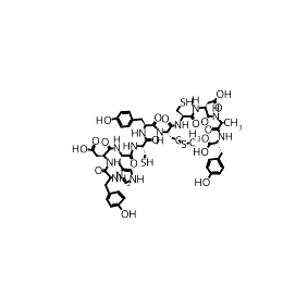 CSCC[C@H](NC(=O)[C@H](Cc1ccc(O)cc1)NC(=O)[C@H](CS)NC(=O)[C@H](Cc1c[nH]cn1)NC(=O)[C@H](CC(=O)O)NC(=O)[C@@H](N)Cc1ccc(O)cc1)C(=O)N[C@@H](CS)C(=O)N[C@H](CC(=O)O)C(=O)N[C@@H](C)C(=O)N[C@H](Cc1ccc(O)cc1)C(=O)O